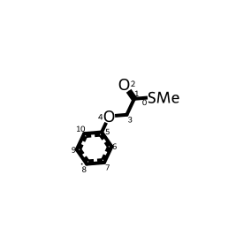 CSC(=O)COc1cc[c]cc1